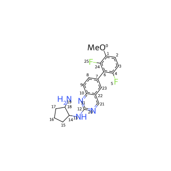 COc1ccc(F)c(-c2ccc3nc(NC4CCCC4N)ncc3c2)c1F